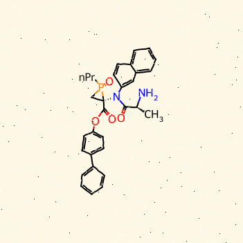 CCCP1(=O)C[C@@]1(C(=O)Oc1ccc(-c2ccccc2)cc1)N(C(=O)[C@H](C)N)c1ccc2ccccc2c1